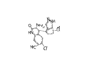 N#Cc1cc2[nH]c(=O)c(N)c(-c3ccc(Cl)c4[nH]ncc34)c2cc1Cl